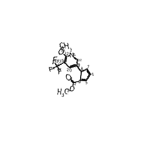 COC(=O)C1=C=C=CC1c1cnc(OC)c(C(F)(F)F)c1